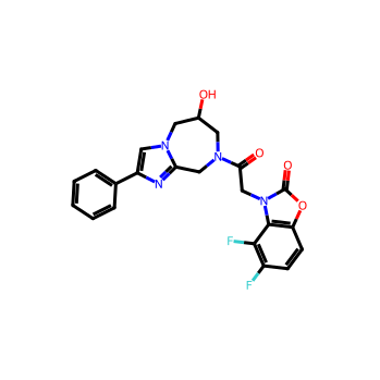 O=C(Cn1c(=O)oc2ccc(F)c(F)c21)N1Cc2nc(-c3ccccc3)cn2CC(O)C1